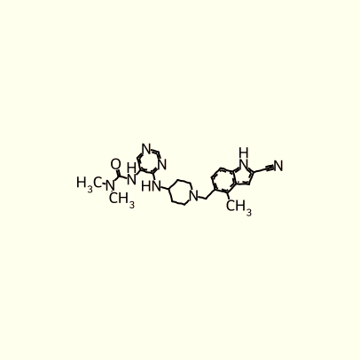 Cc1c(CN2CCC(Nc3ncncc3NC(=O)N(C)C)CC2)ccc2[nH]c(C#N)cc12